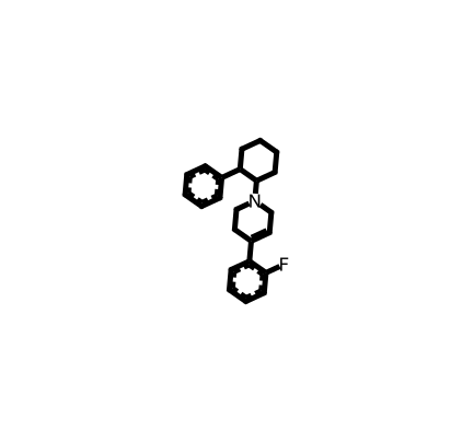 Fc1ccccc1C1=CCN(C2CCCCC2c2ccccc2)CC1